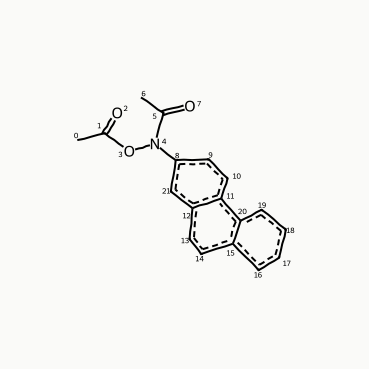 CC(=O)ON(C(C)=O)c1ccc2c(ccc3ccccc32)c1